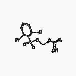 CC(C)c1cccc(Cl)c1S(=O)(=O)OCO[PH](=O)O